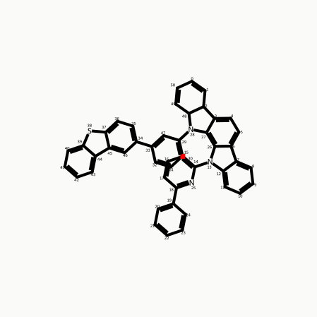 C1=CC2c3ccc4c5ccccc5n(-c5cccc(-c6ccccc6)n5)c4c3N(c3cccc(-c4ccc5sc6ccccc6c5c4)c3)C2C=C1